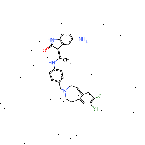 C/C(Nc1ccc(CN2CC=C3CC(Cl)=C(Cl)C=C3CC2)cc1)=C1/C(=O)Nc2ccc(N)cc21